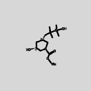 CC(C)(C)OC(=O)N1C[C@H](O)C[C@H](CC(C)(C)[Si](C)(C)O)C1